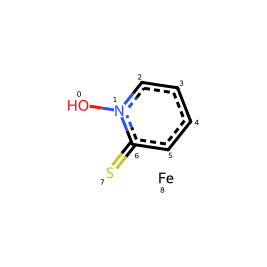 On1ccccc1=S.[Fe]